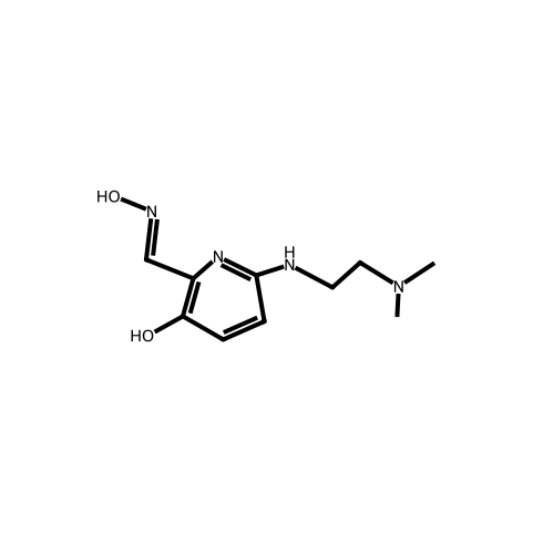 CN(C)CCNc1ccc(O)c(/C=N/O)n1